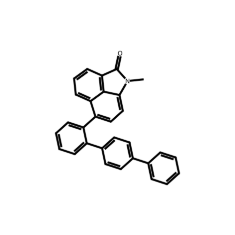 CN1C(=O)c2cccc3c(-c4ccccc4-c4ccc(-c5ccccc5)cc4)ccc1c23